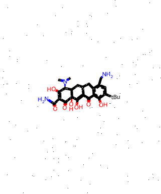 CN(C)[C@@H]1C(O)=C(C(N)=O)C(=O)[C@@]2(O)C(O)=C3C(=O)c4c(O)c(C(C)(C)C)cc(CN)c4CC3CC12